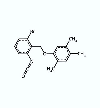 Cc1cc(C)c(OCc2c(Br)cccc2N=C=O)cc1C